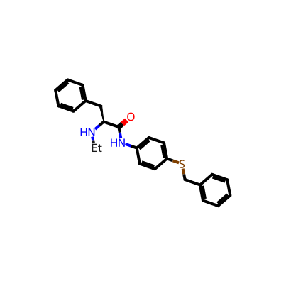 CCN[C@@H](Cc1ccccc1)C(=O)Nc1ccc(SCc2ccccc2)cc1